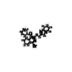 O=c1c2c(-c3ccncc3)cccc2c(Br)nn1CCc1cn2ccccc2n1